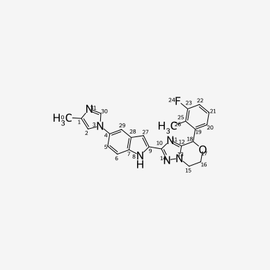 Cc1cn(-c2ccc3[nH]c(-c4nc5n(n4)CCOC5c4cccc(F)c4C)cc3c2)cn1